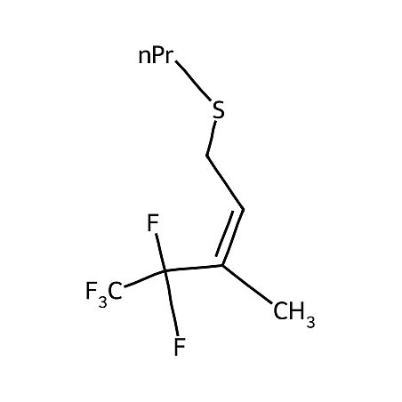 [CH2]CCSCC=C(C)C(F)(F)C(F)(F)F